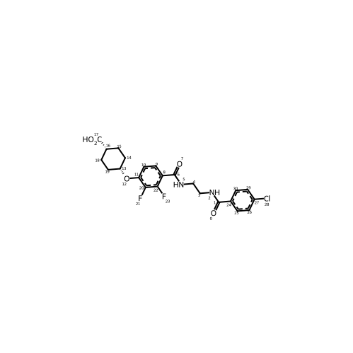 O=C(NCCNC(=O)c1ccc(O[C@H]2CC[C@@H](C(=O)O)CC2)c(F)c1F)c1ccc(Cl)cc1